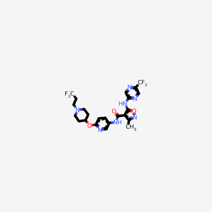 Cc1noc(Nc2cnc(C(F)(F)F)cn2)c1C(=O)Nc1ccc(OC2CCN(CCC(F)(F)F)CC2)nc1